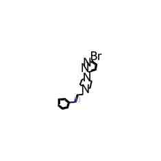 Brc1ccc(N2CCN(C/C=C/c3ccccc3)CC2)nn1